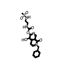 CS(=O)(=O)NCCNC(=O)Oc1ncc2c(=O)n(Cc3ccccc3)ccc2c1O